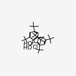 CC(C)(C)c1cc(C(C)(C)C)c(P(O)(O)(Cl)c2c(C(C)(C)C)cc(C(C)(C)C)cc2C(C)(C)C)c(C(C)(C)C)c1